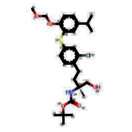 COCOc1ccc(C(C)C)cc1Sc1ccc(CC[C@@](C)(CO)NC(=O)OC(C)(C)C)c(Cl)c1